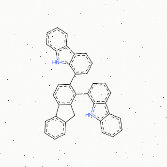 c1ccc2c(c1)Cc1c-2ccc(-c2cccc3c2[nH]c2ccccc23)c1-c1cccc2c1[nH]c1ccccc12